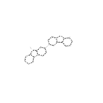 CC(C)n1c2ccccc2c2ccc(-c3ccc4sc5ccccc5c4c3)cc21